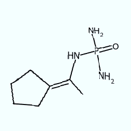 CC(NP(N)(N)=O)=C1CCCC1